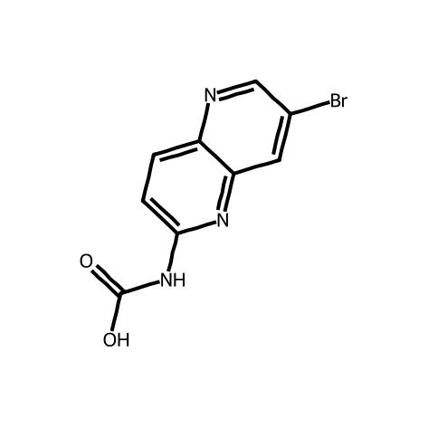 O=C(O)Nc1ccc2ncc(Br)cc2n1